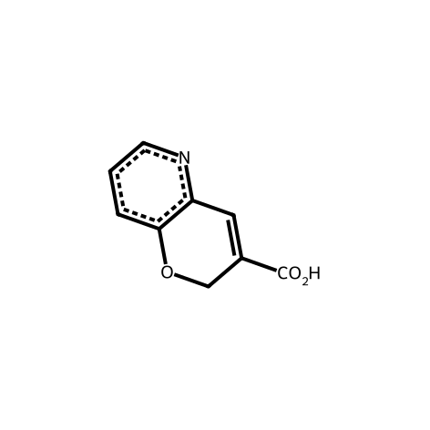 O=C(O)C1=Cc2ncccc2OC1